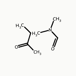 CCC(C)=O.CN(C)C=O